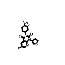 N[C@H]1CC[C@@H](n2c(=O)c3cc(F)cnc3n(C3CCSC3)c2=O)CC1